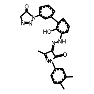 CC1=NN(c2ccc(C)c(C)c2)C(=O)/C1=N\Nc1cccc(-c2cccc(N3N=NCC3=O)c2)c1O